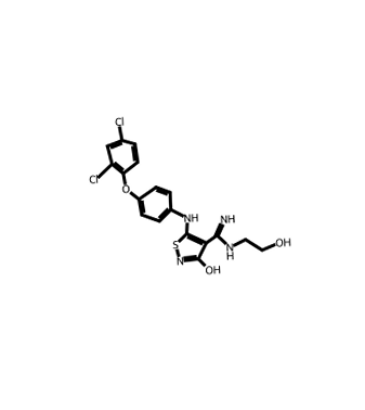 N=C(NCCO)c1c(O)nsc1Nc1ccc(Oc2ccc(Cl)cc2Cl)cc1